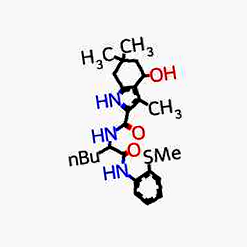 CCCCC(NC(=O)c1[nH]c2c(c1C)C(O)CC(C)(C)C2)C(=O)Nc1ccccc1SC